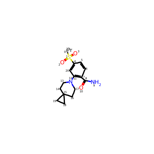 CC(C)S(=O)(=O)c1ccc(C(N)=O)c(N2CCC3(CC2)CC3)c1